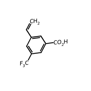 C=Cc1cc(C(=O)O)cc(C(F)(F)F)c1